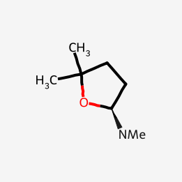 CN[C@@H]1CCC(C)(C)O1